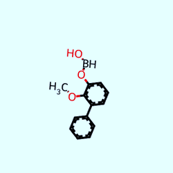 COc1c(OBO)cccc1-c1ccccc1